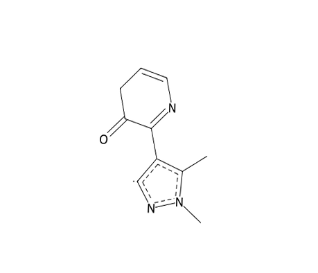 Cc1c(C2=NC=CCC2=O)[c]nn1C